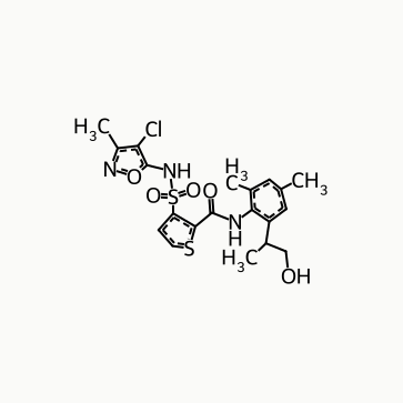 Cc1cc(C)c(NC(=O)c2sccc2S(=O)(=O)Nc2onc(C)c2Cl)c(C(C)CO)c1